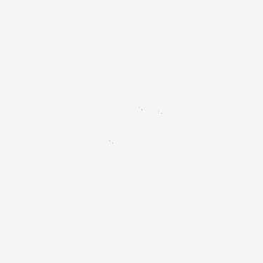 CCCCCN(Cc1ccc(-c2ccccc2)c(-c2nc(=O)s[nH]2)c1)c1sccc1C(=O)OC